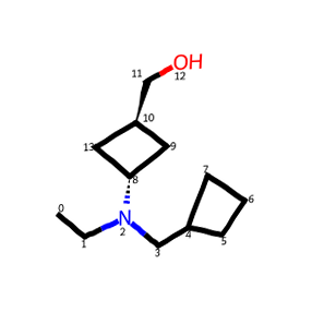 CCN(CC1CCC1)[C@H]1C[C@H](CO)C1